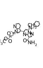 COC(=O)[C@H]1C[C@@H](n2cc(-c3cc(N(C)Cc4ccccc4)n4ncc(C(N)=O)c4n3)c3cccnc32)CO1